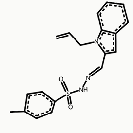 C=CCn1c(/C=N/NS(=O)(=O)c2ccc(C)cc2)cc2ccccc21